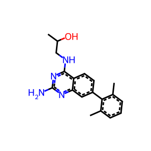 Cc1cccc(C)c1-c1ccc2c(NCC(C)O)nc(N)nc2c1